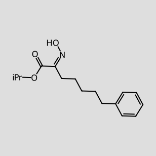 CC(C)OC(=O)C(CCCCCc1ccccc1)=NO